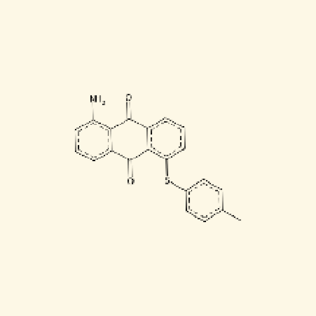 Cc1ccc(Sc2cccc3c2C(=O)c2cccc(N)c2C3=O)cc1